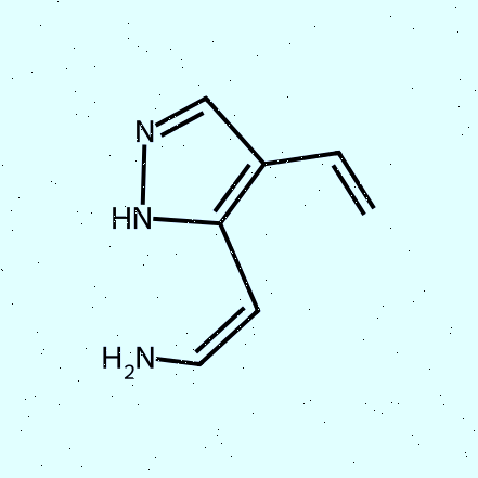 C=Cc1cn[nH]c1/C=C\N